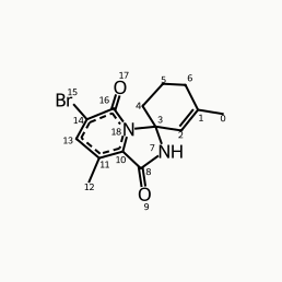 CC1=CC2(CCC1)NC(=O)c1c(C)cc(Br)c(=O)n12